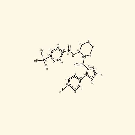 Cc1nc(C(=O)N2CCCCC2CNc2ncc(C(F)(F)F)cn2)c(-c2ccc(F)cc2)s1